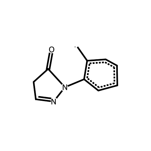 [CH2]c1ccccc1N1N=CCC1=O